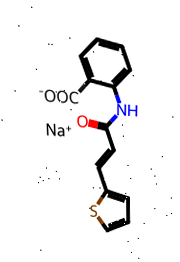 O=C(C=Cc1cccs1)Nc1ccccc1C(=O)[O-].[Na+]